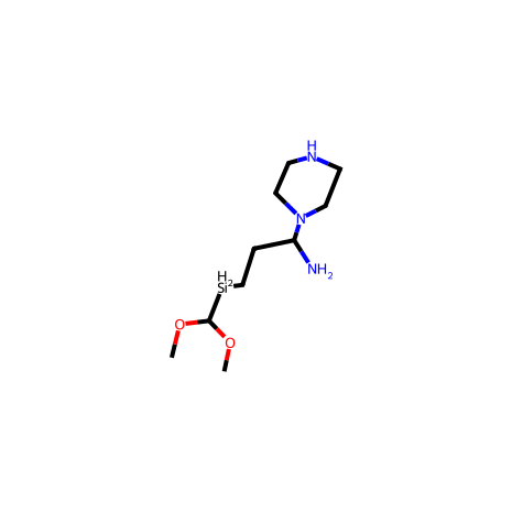 COC(OC)[SiH2]CCC(N)N1CCNCC1